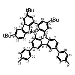 Cc1ccc(-c2ccc3c(c2)c2cc(-c4ccc(C)cc4)cc4c2n3-c2cc(C(C)(C)C)cc3c2B4n2c4ccc(C(C)(C)C)cc4c4cc(C(C)(C)C)cc-3c42)cc1